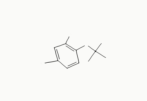 CC(C)(C)Sc1ccc(Cl)cc1Br